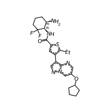 CCc1sc(C(=O)N[C@@H]2[C@H](N)CCCC2(F)F)cc1-c1cnn2cc(OC3CCCC3)cnc12